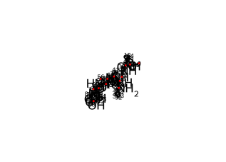 C=CCOC(=O)N[C@@H](CSSC(C)(C)C)C(=O)NCCCC[C@H](NC(=O)[C@@H](N)Cc1ccccc1)C(=O)N[C@@H](CC(C)C)C(=O)N(C)[C@@H](C)C(=O)N(C)[C@@H](CC(C)C)C(=O)N[C@@H](C)C(=O)N(C)[C@@H](Cc1ccccc1)C(=O)N(C)[C@@H](C)C(=O)N[C@@H](C)C(=O)O